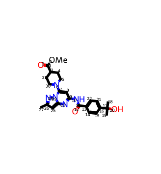 COC(=O)C1CCN(c2cc(NC(=O)c3ccc(C(C)(C)O)cc3)nc3cc(C)nn23)CC1